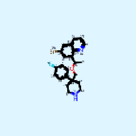 CC(OCC1(c2ccc(F)cc2)CCNCC1)c1cc(Br)cc2cccnc12